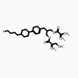 C=C(C)C(=O)OCC(COC(=O)C(=C)CO)CC1=CC=C(C2CCC(CCCCF)CC2)CC1